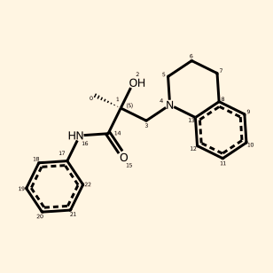 C[C@](O)(CN1CCCc2ccccc21)C(=O)Nc1ccccc1